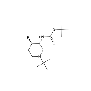 CC(C)(C)OC(=O)N[C@@H]1CN(C(C)(C)C)CC[C@H]1F